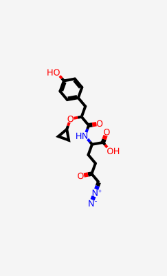 [N-]=[N+]=CC(=O)CCC(NC(=O)C(Cc1ccc(O)cc1)OC1CC1)C(=O)O